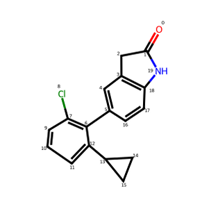 O=C1Cc2cc(-c3c(Cl)cccc3C3CC3)ccc2N1